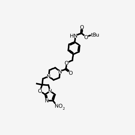 CC(C)(C)OC(=O)Nc1ccc(COC(=O)N2CCN(CC3(C)Cn4cc([N+](=O)[O-])nc4O3)CC2)cc1